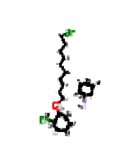 BrCCCCCCCCCCOc1ccccc1Br.Ic1ccccc1